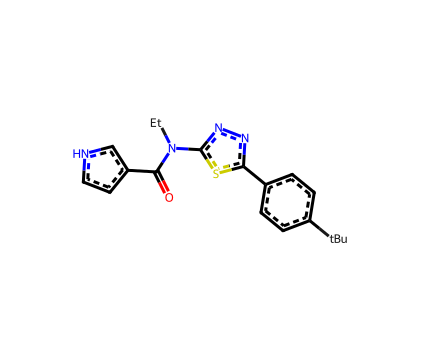 CCN(C(=O)c1cc[nH]c1)c1nnc(-c2ccc(C(C)(C)C)cc2)s1